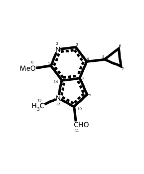 COc1ncc(C2CC2)c2cc(C=O)n(C)c12